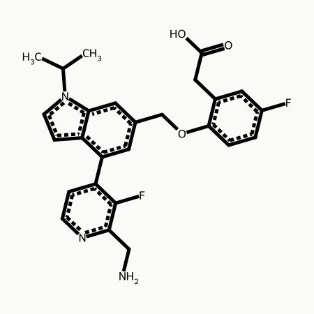 CC(C)n1ccc2c(-c3ccnc(CN)c3F)cc(COc3ccc(F)cc3CC(=O)O)cc21